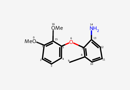 COc1cccc(Oc2c(C)cccc2N)c1OC